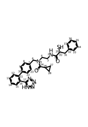 O=C(NCCN(Cc1ccc(-c2ccccc2-c2nnn[nH]2)cc1)C(=O)C1CC1)[C@@H](S)Cc1ccccc1